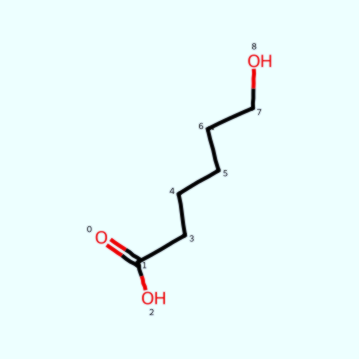 O=C(O)CCC[CH]CO